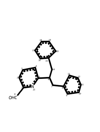 O=Cc1cccc(C(Cc2ccccc2)Cc2ccccc2)n1